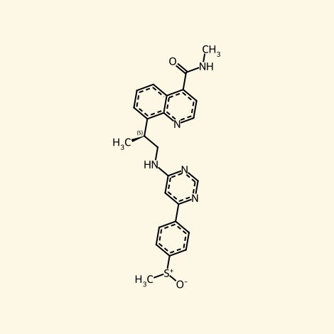 CNC(=O)c1ccnc2c([C@H](C)CNc3cc(-c4ccc([S+](C)[O-])cc4)ncn3)cccc12